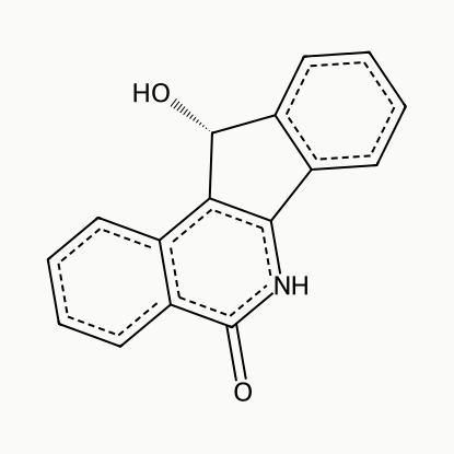 O=c1[nH]c2c(c3ccccc13)[C@H](O)c1ccccc1-2